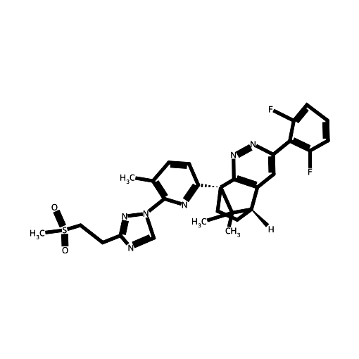 Cc1ccc([C@]23CC[C@@H](c4cc(-c5c(F)cccc5F)nnc42)C3(C)C)nc1-n1cnc(CCS(C)(=O)=O)n1